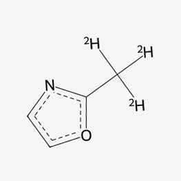 [2H]C([2H])([2H])c1ncco1